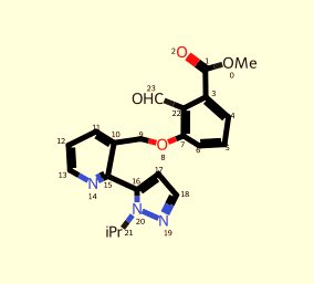 COC(=O)c1cccc(OCc2cccnc2-c2ccnn2C(C)C)c1C=O